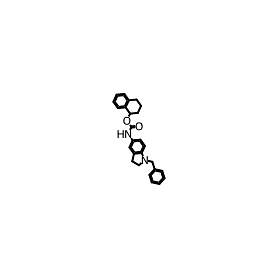 O=C(Nc1ccc2c(c1)CCN2Cc1ccccc1)OC1CCCc2ccccc21